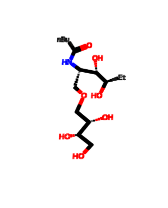 CCCCC(=O)N[C@@H](COC[C@H](O)[C@@H](O)CO)[C@H](O)[C@H](O)CC